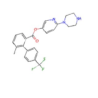 Cc1cccc(C(=O)Oc2ccc(N3CCNCC3)nc2)c1-c1ccc(C(F)(F)F)cc1